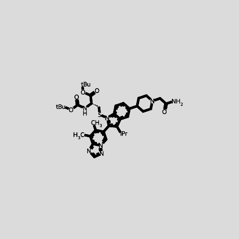 Cc1c(-c2c(C(C)C)c3cc(C4CCN(CC(N)=O)CC4)ccc3n2SC[C@H](NC(=O)OC(C)(C)C)C(=O)OC(C)(C)C)cn2ncnc2c1C